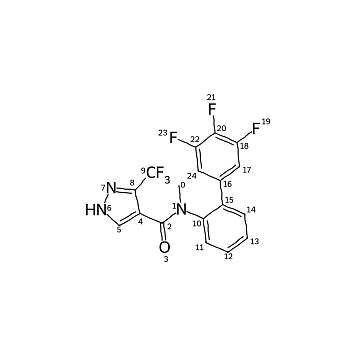 CN(C(=O)c1c[nH]nc1C(F)(F)F)c1ccccc1-c1cc(F)c(F)c(F)c1